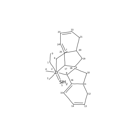 C[CH2][Zr]([CH3])([CH3])(=[SiH2])([CH2]C)([CH]1CCC2CC=CC=C21)[CH]1CCC2CC=CC=C21